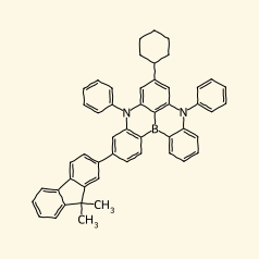 CC1(C)c2ccccc2-c2ccc(-c3ccc4c(c3)N(c3ccccc3)c3cc(C5CCCCC5)cc5c3B4c3ccccc3N5c3ccccc3)cc21